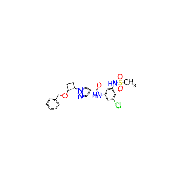 CS(=O)(=O)Nc1cc(Cl)cc(NC(=O)c2cnn(C3CCC3OCc3ccccc3)c2)c1